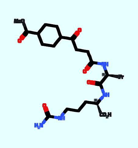 COC(=O)C1CCC(C(=O)CCC(=O)N[C@H](C(=O)N[C@@H](CCCNC(N)=O)C(=O)O)C(C)C)CC1